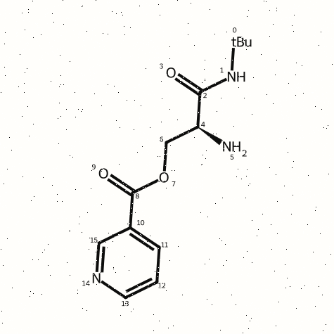 CC(C)(C)NC(=O)[C@@H](N)COC(=O)c1cccnc1